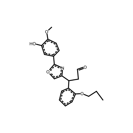 CCCOc1ccccc1C(CC=O)c1coc(-c2ccc(OC)c(O)c2)n1